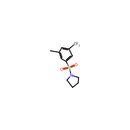 Cc1cc(C(F)(F)F)cc(S(=O)(=O)N2CCCC2)c1